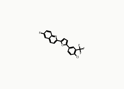 Fc1ccc2nc(-c3ccc(-c4ccc(Cl)c(C(F)(F)F)c4)o3)ccc2c1